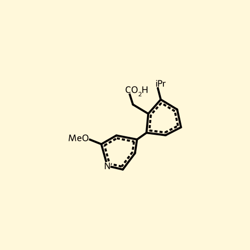 COc1cc(-c2cccc(C(C)C)c2CC(=O)O)ccn1